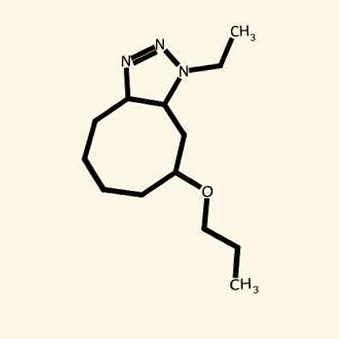 CCCOC1CCCCC2N=NN(CC)C2C1